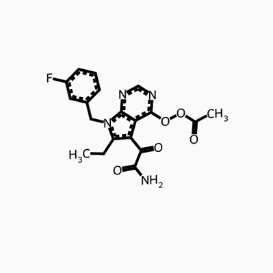 CCc1c(C(=O)C(N)=O)c2c(OOC(C)=O)ncnc2n1Cc1cccc(F)c1